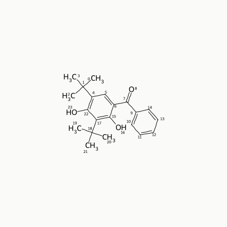 CC(C)(C)c1cc(C(=O)c2ccccc2)c(O)c(C(C)(C)C)c1O